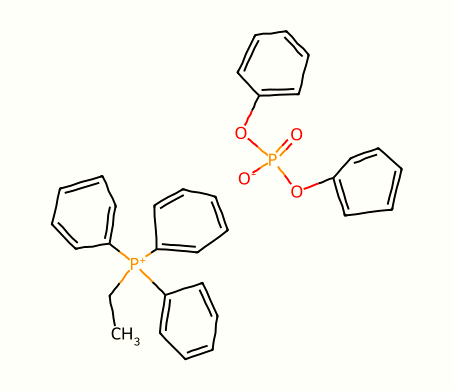 CC[P+](c1ccccc1)(c1ccccc1)c1ccccc1.O=P([O-])(Oc1ccccc1)Oc1ccccc1